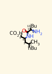 CCCCC(C)CC(CC(=O)O)NC(=O)C(N)C(C)CC